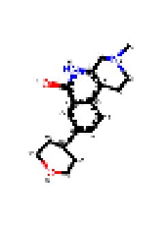 CN1CCc2c([nH]c(=O)c3cc(C4CCOCC4)ccc23)C1